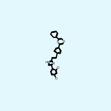 Clc1ccc(-c2c[nH]c(C=Cc3ccc(C4=COC=C(C5=CC=CCC5)O4)cc3)n2)c(Cl)c1